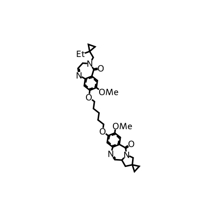 CCC1(CN2CC=Nc3cc(OCCCCCOc4cc5c(cc4OC)C(=O)N4CC6(CC6)CC4C=N5)c(OC)cc3C2=O)CC1